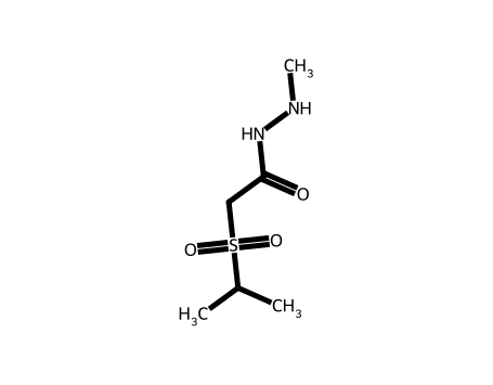 CNNC(=O)CS(=O)(=O)C(C)C